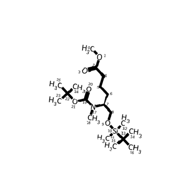 COC(=O)CCC[C@@H](CO[Si](C)(C)C(C)(C)C)N(C)C(=O)OC(C)(C)C